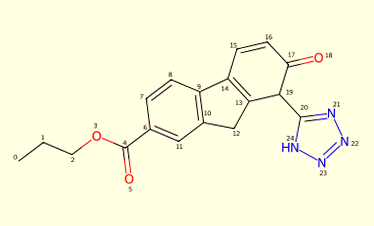 CCCOC(=O)c1ccc2c(c1)CC1=C2C=CC(=O)C1c1nnn[nH]1